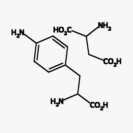 NC(CC(=O)O)C(=O)O.Nc1ccc(CC(N)C(=O)O)cc1